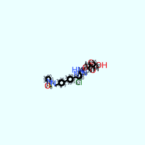 CS(=O)(=NCc1ccc(-c2ccc(-c3nc4[nH]c(O[C@@H]5CO[C@H]6[C@@H]5OC[C@H]6O)nc4cc3Cl)cc2)cc1)N1CCCC1